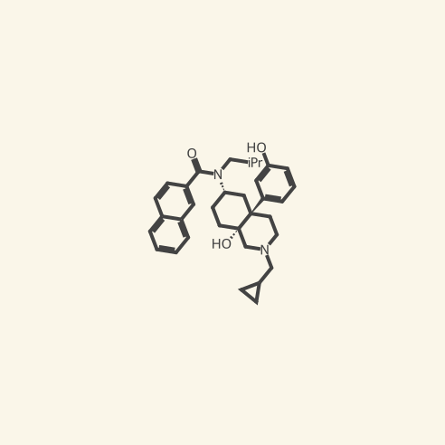 CC(C)CN(C(=O)c1ccc2ccccc2c1)[C@H]1CC[C@]2(O)CN(CC3CC3)CC[C@@]2(c2cccc(O)c2)C1